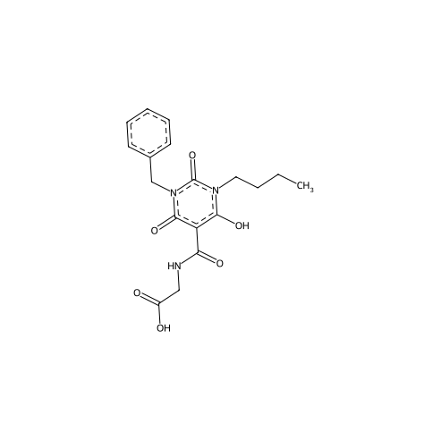 CCCCn1c(O)c(C(=O)NCC(=O)O)c(=O)n(Cc2ccccc2)c1=O